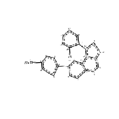 COc1ccc(-c2ccc3ncc4ncn(-c5ccccc5Cl)c4c3c2)cc1